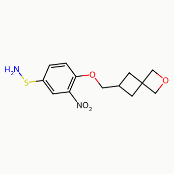 NSc1ccc(OCC2CC3(COC3)C2)c([N+](=O)[O-])c1